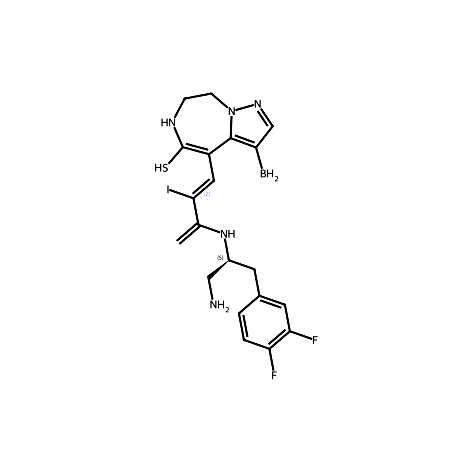 Bc1cnn2c1C(/C=C(\I)C(=C)N[C@H](CN)Cc1ccc(F)c(F)c1)=C(S)NCC2